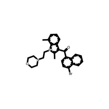 Cc1cccc2c(C(=O)c3ccc(Br)c4ccccc34)c(C)n(CCN3CCOCC3)c12